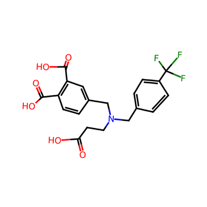 O=C(O)CCN(Cc1ccc(C(F)(F)F)cc1)Cc1ccc(C(=O)O)c(C(=O)O)c1